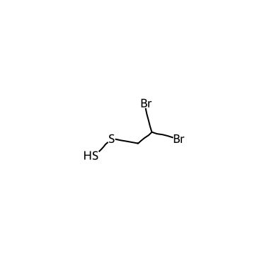 SSCC(Br)Br